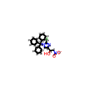 O=[N+]([O-])CC(O)c1cn(C(c2ccccc2)(c2ccccc2)c2ccccc2)c(F)n1